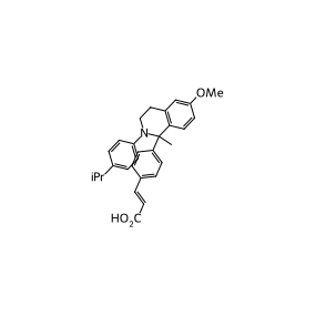 COc1ccc2c(c1)CCN(c1ccc(C(C)C)cc1)C2(C)c1ccc(/C=C/C(=O)O)cc1